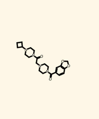 O=C(CN1CCN(C(=O)c2ccc3c(c2)OCO3)CC1)N1CCN(C2CCC2)CC1